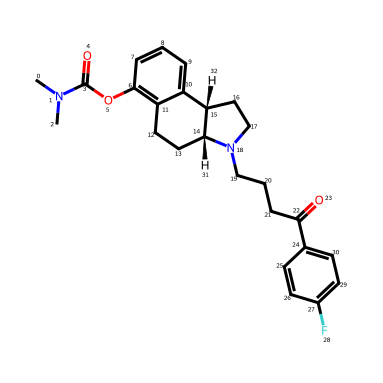 CN(C)C(=O)Oc1cccc2c1CC[C@@H]1[C@H]2CCN1CCCC(=O)c1ccc(F)cc1